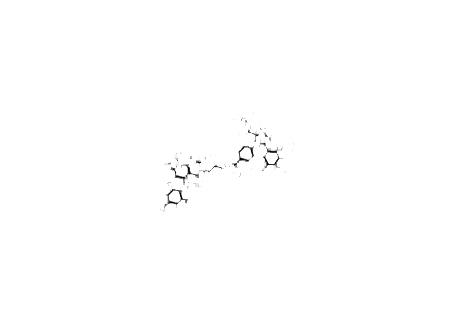 CCNC(=O)c1nnc(-c2cc(C(C)C)c(O)cc2O)n1-c1ccc(C(=O)OCC(O)Cn2cnc3c(c(Nc4ccc(I)cc4F)c(F)c(=O)n3C)c2=O)cc1